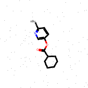 CCCCc1ccc(OC(=O)C2CCCCC2)cn1